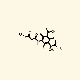 COC(=O)CC(=O)Nc1c(I)c(C(=O)O)c(I)c(N(C)C(C)=O)c1I